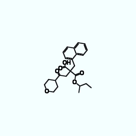 CCC(C)OC(=O)C(CC(=O)C1CCOCC1)(Cc1cccc2ccccc12)C(=O)O